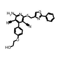 N#Cc1c(N)nc(SCc2coc(-c3ccccc3)n2)c(C#N)c1-c1ccc(OCCO)cc1